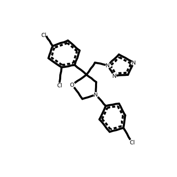 Clc1ccc(N2COC(Cn3cncn3)(c3ccc(Cl)cc3Cl)C2)cc1